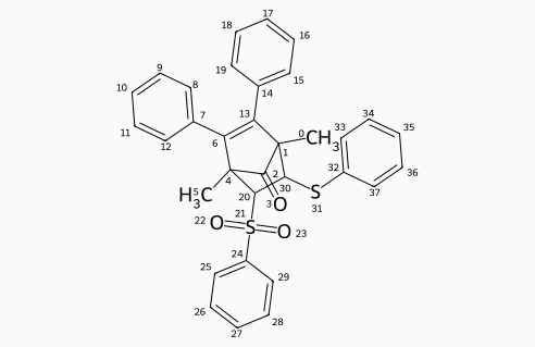 CC12C(=O)C(C)(C(c3ccccc3)=C1c1ccccc1)C(S(=O)(=O)c1ccccc1)C2Sc1ccccc1